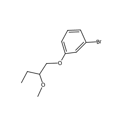 CCC(COc1cccc(Br)c1)OC